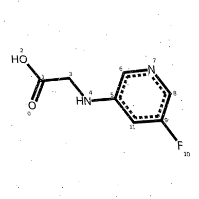 O=C(O)CNc1cncc(F)c1